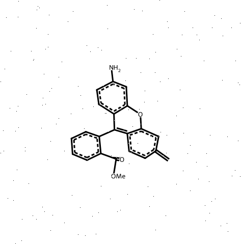 C=c1ccc2c(c1)Oc1cc(N)ccc1C=2c1ccccc1C(=O)OC